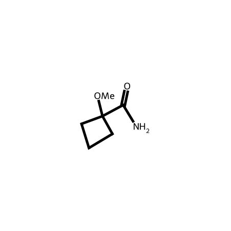 COC1(C(N)=O)CCC1